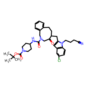 CC(C)(C)OC(=O)N1CCC(NC(=O)N2CC(=O)C(Cc3cc4cc(Cl)ccc4n3CCCC#N)CCc3ccccc3C2)CC1